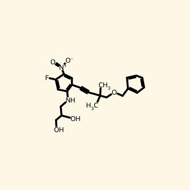 CC(C)(C#Cc1cc([N+](=O)[O-])c(F)cc1NCC(O)CO)COCc1ccccc1